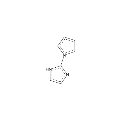 c1ccn(-c2ncc[nH]2)c1